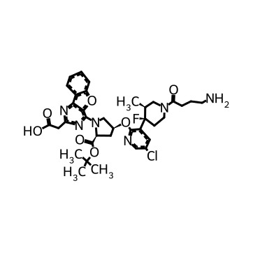 C[C@H]1CN(C(=O)CCCN)CC[C@]1(F)c1cc(Cl)cnc1O[C@H]1C[C@@H](C(=O)OC(C)(C)C)N(c2nc(CC(=O)O)nc3c2oc2ccccc23)C1